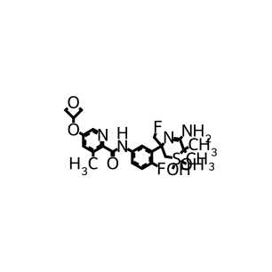 Cc1cc(OC2COC2)cnc1C(=O)Nc1ccc(F)c(C2(CF)CS(O)(O)C(C)(C)C(N)=N2)c1